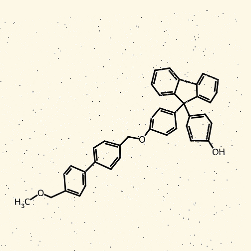 COCc1ccc(-c2ccc(COc3ccc(C4(c5ccc(O)cc5)c5ccccc5-c5ccccc54)cc3)cc2)cc1